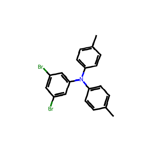 Cc1ccc(N(c2ccc(C)cc2)c2cc(Br)cc(Br)c2)cc1